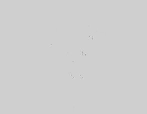 O=c1c(OCC2(c3ccccc3)CC2)c(N2CCN(S(=O)(=O)C3CCCC3)CC2)cnn1-c1cccc(Cl)c1